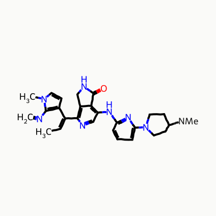 C=Nc1c(/C(=C\C)c2ncc(Nc3cccc(N4CCC(NC)CC4)n3)c3c2CNC3=O)ccn1C